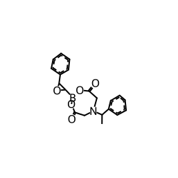 CC(c1ccccc1)N1CC(=O)OB(C2OC2c2ccccc2)OC(=O)C1